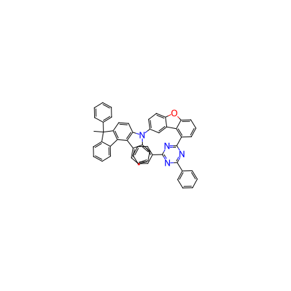 CC1(c2ccccc2)c2ccccc2-c2c1ccc1c2c2ccccc2n1-c1ccc2oc3cccc(-c4nc(-c5ccccc5)nc(-c5ccccc5)n4)c3c2c1